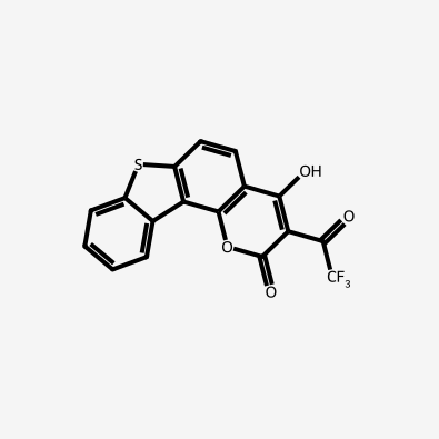 O=C(c1c(O)c2ccc3sc4ccccc4c3c2oc1=O)C(F)(F)F